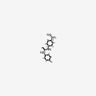 C=C(Nc1ccc(C)cc1)Nc1ccc(C(C)S)cc1